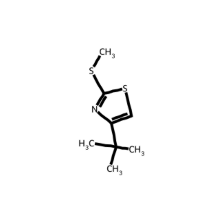 CSc1nc(C(C)(C)C)cs1